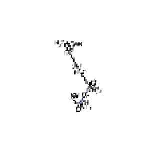 Cc1ccc(OP(=O)(O)O)c(C(F)C(=O)NCCCCCC(=O)NCCNC(=O)CCCCC[N+]2=C(/C=C/C3=C(Cl)C(=C/C=C4/N(CCCS(=O)(=O)O)c5ccccc5C4(C)C)/CC3)C(C)(C)c3ccccc32)c1